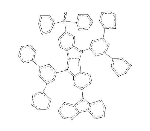 O=P(c1ccccc1)(c1ccccc1)c1ccc2c(c1)n(-c1cc(-c3ccccc3)cc(-c3ccccc3)c1)c1c3ccc(-n4c5ccccc5c5ccccc54)cc3n(-c3cc(-c4ccccc4)cc(-c4ccccc4)c3)c21